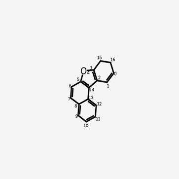 C1=Cc2c(oc3ccc4ccccc4c23)CC1